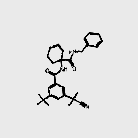 CC(C)(C)c1cc(C(=O)NC2(C(=O)NCc3ccccc3)CCCCC2)cc(C(C)(C)C#N)c1